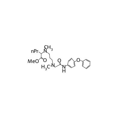 CCCC(C(=O)OC)N(C)CCCN(C)CC(=O)Nc1ccc(Oc2ccccc2)cc1